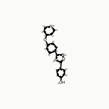 Oc1ccc(-c2nc(-c3ccc(Oc4ccncc4)cc3)no2)cc1